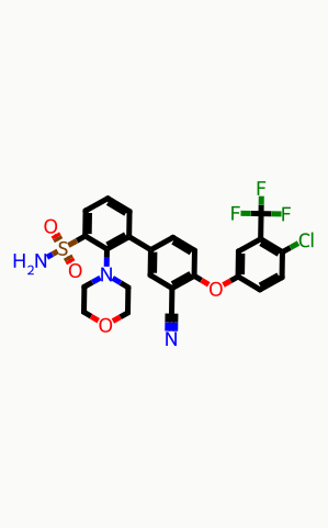 N#Cc1cc(-c2cccc(S(N)(=O)=O)c2N2CCOCC2)ccc1Oc1ccc(Cl)c(C(F)(F)F)c1